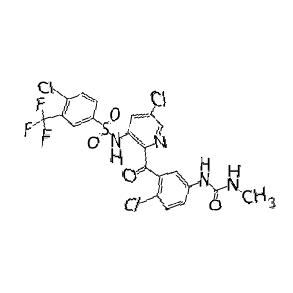 CNC(=O)Nc1ccc(Cl)c(C(=O)c2ncc(Cl)cc2NS(=O)(=O)c2ccc(Cl)c(C(F)(F)F)c2)c1